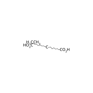 CC(C)(CCCCCCCCCCCCCCCC(=O)O)C(=O)O